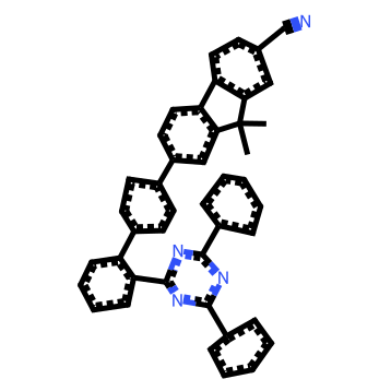 CC1(C)c2cc(C#N)ccc2-c2ccc(-c3ccc(-c4ccccc4-c4nc(-c5ccccc5)nc(-c5ccccc5)n4)cc3)cc21